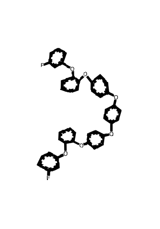 Fc1cccc(Oc2ccccc2Oc2ccc(Oc3ccc(Oc4ccc(Oc5ccccc5Oc5cccc(F)c5)cc4)cc3)cc2)c1